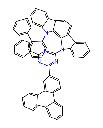 c1ccc(-c2nc(-c3ccc4c5ccccc5c5ccccc5c4c3)nc(-n3c4ccccc4c4ccc5c6ccccc6n(-c6ccccc6-c6ccccc6)c5c43)n2)cc1